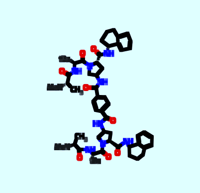 CN[C@@H](C)C(=O)N[C@H](C(=O)N1CC(NC(=O)c2ccc(C(=O)N[C@H]3C[C@@H](C(=O)N[C@@H]4CCCc5ccccc54)N(C(=O)[C@@H](NC(=O)[C@H](C)NC)C(C)(C)C)C3)cc2)C[C@H]1C(=O)N[C@@H]1CCCc2ccccc21)C(C)(C)C